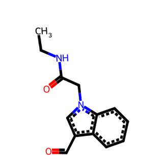 CCNC(=O)Cn1cc(C=O)c2ccccc21